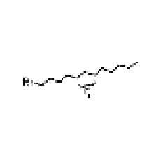 CCCCCCCCCCCCBr.CP(C)C